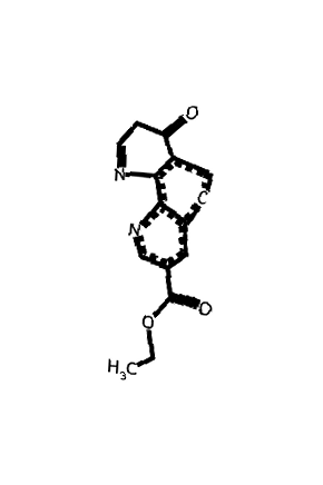 CCOC(=O)c1cnc2c3c(ccc2c1)C(=O)CC=N3